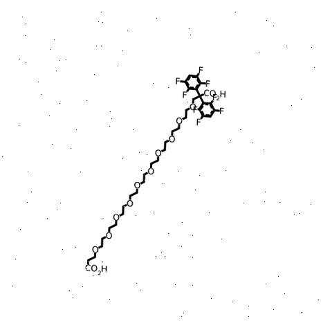 O=C(O)CCOCCOCCOCCOCCOCCOCCOCCOCCOCCOCC(C(=O)O)(c1c(F)c(F)cc(F)c1F)c1c(F)c(F)cc(F)c1F